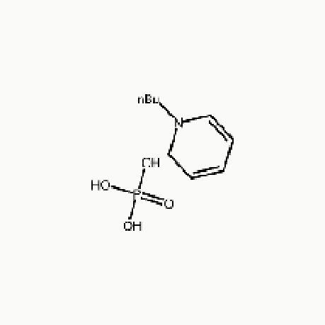 CCCCN1C=CC=CC1.O=P(O)(O)O